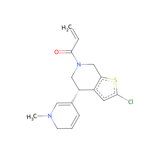 C=CC(=O)N1Cc2sc(Cl)cc2[C@H](C2=CN(C)CC=C2)C1